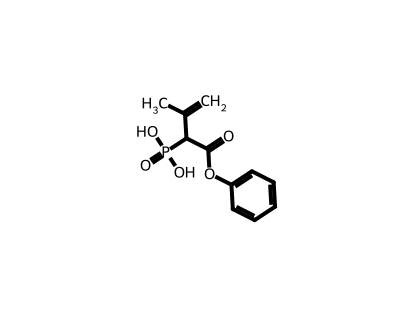 C=C(C)C(C(=O)Oc1ccccc1)P(=O)(O)O